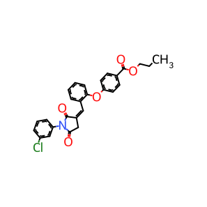 CCCOC(=O)c1ccc(Oc2ccccc2/C=C2/CC(=O)N(c3cccc(Cl)c3)C2=O)cc1